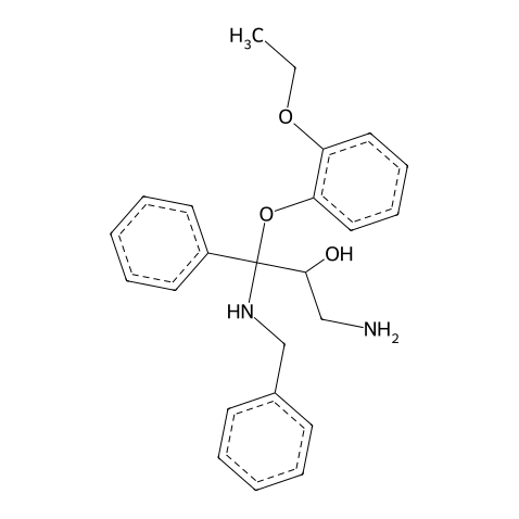 CCOc1ccccc1OC(NCc1ccccc1)(c1ccccc1)C(O)CN